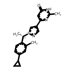 Cc1nc(-c2cnn([C@@H](C)c3ccc(C4CC4)cc3C)c2)cc(=O)[nH]1